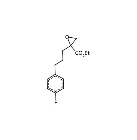 CCOC(=O)C1(CCCc2ccc(F)cc2)CO1